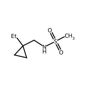 CCC1(CNS(C)(=O)=O)CC1